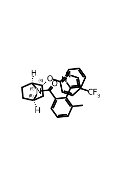 Cc1cccc(C(=O)N2[C@@H]3CC[C@H]2[C@H](Oc2ccc(C(F)(F)F)cn2)C3)c1-c1ccccn1